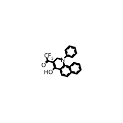 O=C(C1=C(O)c2ccc3ccccc3c2N(c2ccccc2)C1)C(F)(F)F